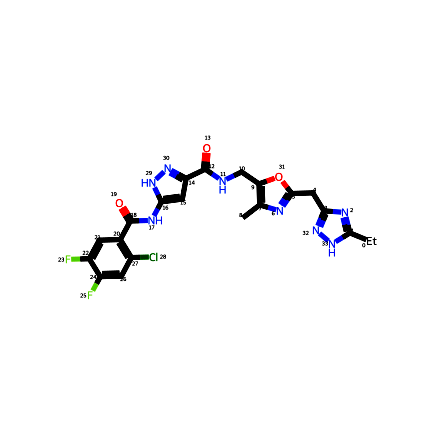 CCc1nc(Cc2nc(C)c(CNC(=O)c3cc(NC(=O)c4cc(F)c(F)cc4Cl)[nH]n3)o2)n[nH]1